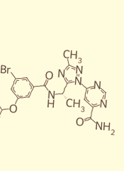 Cc1nc([C@H](C)NC(=O)c2cc(Br)cc(OC(F)F)c2)n(-c2cc(C(N)=O)ncn2)n1